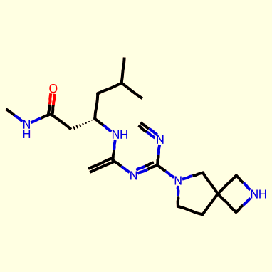 C=N/C(=N\C(=C)N[C@H](CC(=O)NC)CC(C)C)N1CCC2(CNC2)C1